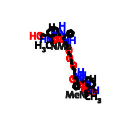 CN[C@@H](C)C(=O)N[C@@H]1C(=O)N2[C@@H](CC[C@@H]1CCO)CC[C@H]2C(=O)N[C@H](C(=O)NCCCOCCOCCOCCCNC(=O)[C@@H](NC(=O)[C@@H]1CC[C@@H]2CC[C@H](CO)[C@H](NC(=O)[C@H](C)NC)C(=O)N21)c1ccccc1)c1ccccc1